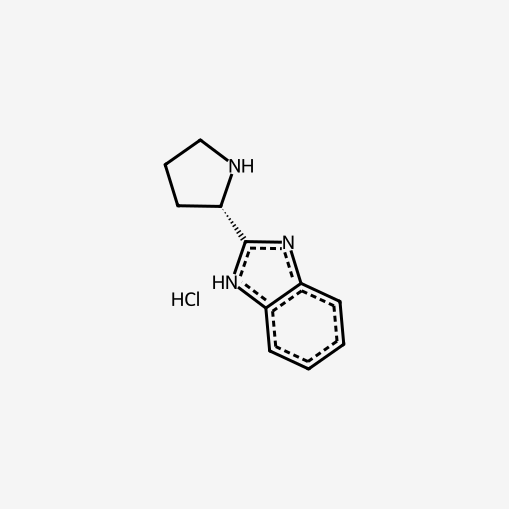 Cl.c1ccc2[nH]c([C@@H]3CCCN3)nc2c1